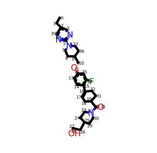 CCc1cnc(N2CCC(COc3ccc(C4=CCC(C(=O)N5CCC(CCO)CC5)CC4)c(F)c3)CC2)nc1